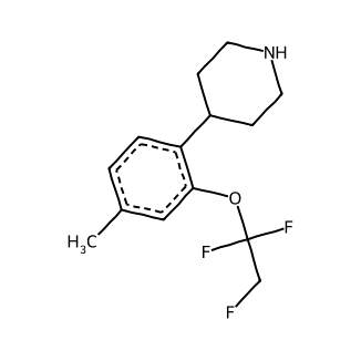 Cc1ccc(C2CCNCC2)c(OC(F)(F)CF)c1